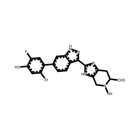 CCCN1Cc2[nH]c(-c3n[nH]c4cc(-c5cc(F)c(O)cc5CC)ccc34)nc2CC1C=O